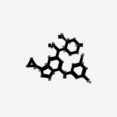 NC(c1cc(Nc2cc(F)cc(F)c2)n2ncc(C3CC3)c2n1)[C@@H]1CCNC[C@H]1O